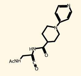 CC(=O)NCC(=C=O)NC(=O)C1CCN(c2ccncc2)CC1